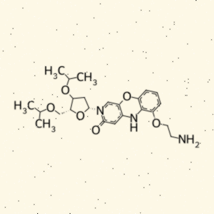 CC(C)OC[C@H]1O[C@@H](n2cc3c(cc2=O)Nc2c(OCCN)cccc2O3)CC1OC(C)C